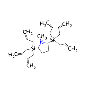 C=CC[Si](CC=C)(CC=C)C1CCC([Si](CC=C)(CC=C)CC=C)N1C